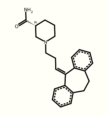 NC(=O)[C@@H]1CCCN(CCC=C2c3ccccc3CCc3ccccc32)C1